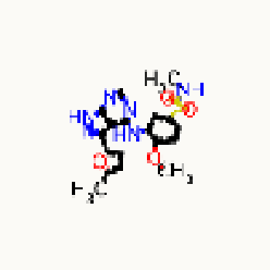 CNS(=O)(=O)c1ccc(OC)c(Nc2ncnc3[nH]nc(-c4ccc(C)o4)c23)c1